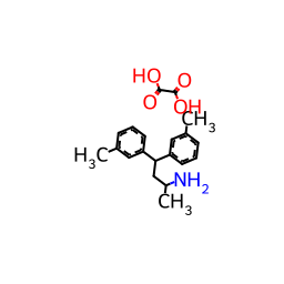 Cc1cccc(C(CC(C)N)c2cccc(C)c2)c1.O=C(O)C(=O)O